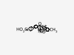 Cc1ccc(S(=O)(=O)c2nnn3c2[nH]c(=O)c2ccc(N4CCN(CC(=O)O)CC4)cc23)c(C)c1